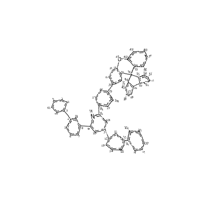 c1ccc(-c2cccc(-c3cc(-c4cccc(-c5ccccc5)c4)nc(-c4ccc(-c5ccc6c(c5)C5(c7ccccc7O6)c6ccccc6-c6ccccc65)cc4)n3)c2)cc1